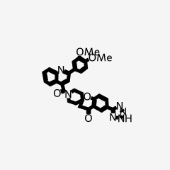 COc1ccc(-c2cc(C(=O)N3CCC4(CC3)CC(=O)c3cc(-c5nn[nH]n5)ccc3O4)c3ccccc3n2)cc1OC